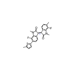 Cc1ccc(-c2ccc3c(c2F)N(C)C(=O)/C3=C2/C(=O)N(C)c3c2ccc(C)c3F)s1